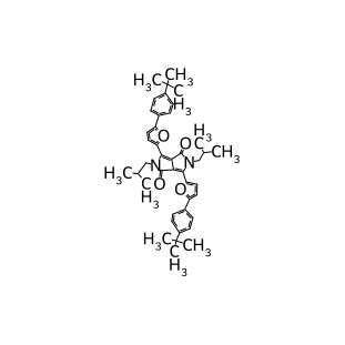 CC(C)CN1C(=O)C2=C(c3ccc(-c4ccc(C(C)(C)C)cc4)o3)N(CC(C)C)C(=O)C2=C1c1ccc(-c2ccc(C(C)(C)C)cc2)o1